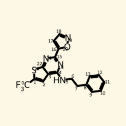 FC(F)(F)c1cc2c(NCCc3ccccc3)nc(-c3ccno3)nc2s1